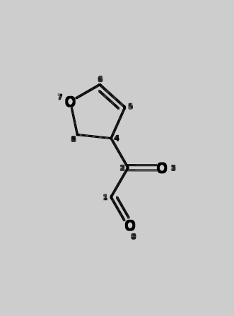 O=CC(=O)C1C=COC1